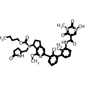 CCCCOC(=O)N(CC1CCC(=O)N1)C1CCc2cc(-c3cccc(-c4cccc(NC(=O)c5cn(C)c(=O)n(C)c5=O)c4C)c3Cl)nc(OC)c21